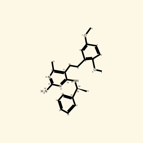 COc1ccc(OC)c(CCc2c(C)nc(N)nc2N[C@@H](C)c2ccccc2)c1